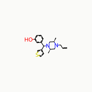 C=CCN1C[C@@H](C)N(C(c2ccsc2)c2cccc(O)c2)C[C@H]1C